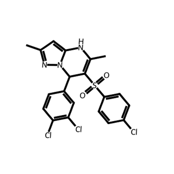 CC1=C(S(=O)(=O)c2ccc(Cl)cc2)C(c2ccc(Cl)c(Cl)c2)n2nc(C)cc2N1